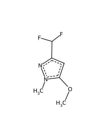 COc1cc(C(F)F)nn1C